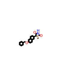 C=S1C(=O)NC(=O)C1c1ccc2cc(OCc3ccccc3)ccc2c1